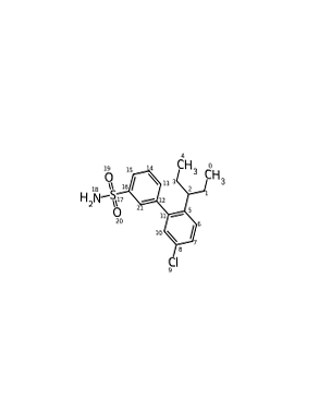 CCC(CC)c1ccc(Cl)cc1-c1cccc(S(N)(=O)=O)c1